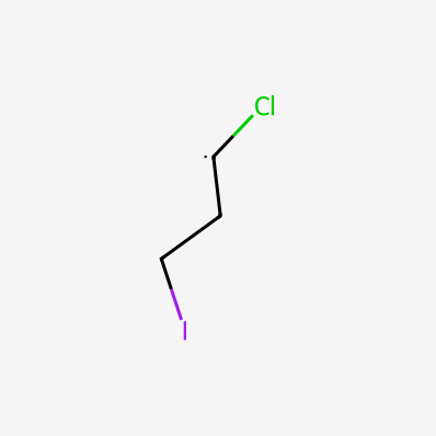 Cl[CH]CCI